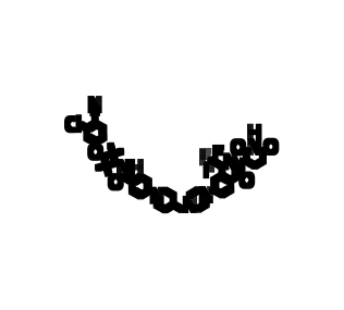 CC1(C)[C@H](NC(=O)c2ccc(N3CCC(CN4CCN(c5ccc6c(=O)n([C@H]7CCC(=O)NC7=O)nc(C(F)(F)F)c6c5)CC4)CC3)cc2)C(C)(C)[C@H]1Oc1ccc(C#N)c(Cl)c1